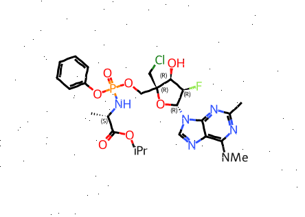 CNc1nc(C)nc2c1ncn2[C@@H]1O[C@](CCl)(COP(=O)(N[C@@H](C)C(=O)OC(C)C)Oc2ccccc2)[C@@H](O)[C@H]1F